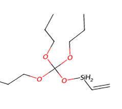 C=C[SiH2]OC(OCCC)(OCCC)OCCC